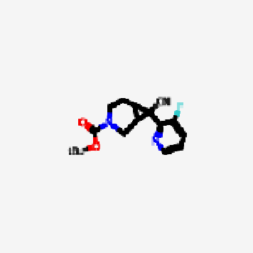 CC(C)(C)OC(=O)N1CCC2C(C1)C2(C#N)c1ncccc1F